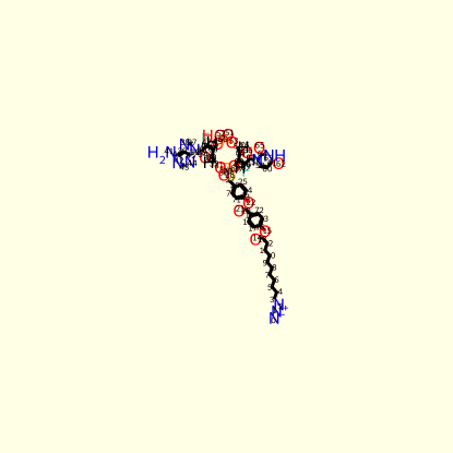 [N-]=[N+]=NCCCCCCCCCCC(=O)Oc1ccc(C(=O)Oc2ccc(CSP3(=O)OC[C@H]4O[C@@H](n5cnc6c(N)ncnc65)[C@H](F)[C@@H]4OP(=O)(O)OC[C@H]4O[C@@H](n5ccc(=O)[nH]c5=O)[C@H](F)[C@@H]4O3)cc2)cc1